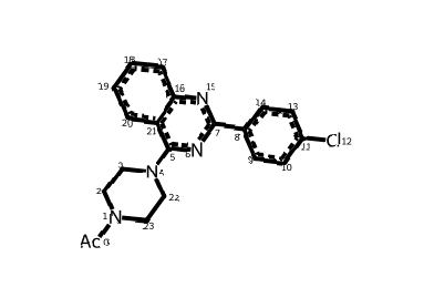 CC(=O)N1CCN(c2nc(-c3ccc(Cl)cc3)nc3ccccc23)CC1